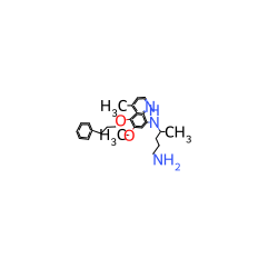 COc1cc(NC(C)CCCN)c2nccc(C)c2c1OCCCc1ccccc1